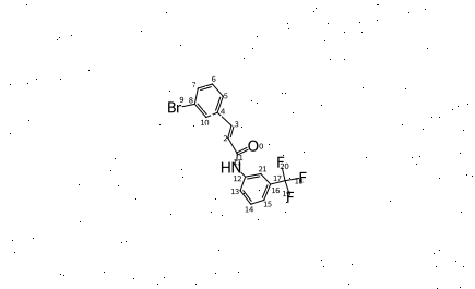 O=C(C=Cc1cccc(Br)c1)Nc1cccc(C(F)(F)F)c1